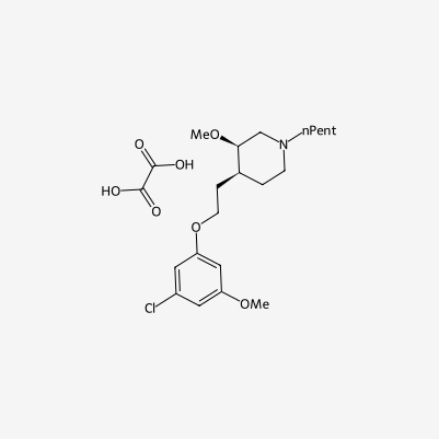 CCCCCN1CC[C@@H](CCOc2cc(Cl)cc(OC)c2)[C@@H](OC)C1.O=C(O)C(=O)O